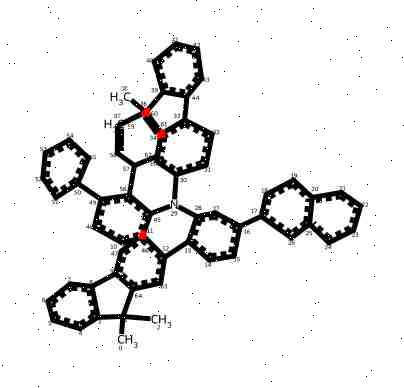 CC1(C)c2ccccc2-c2ccc(-c3ccc(-c4ccc5ccccc5c4)cc3N(c3ccc4c(c3)C(C)(C)c3ccccc3-4)c3cccc(-c4ccccc4)c3C3C=CC=CC3)cc21